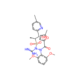 COc1cccc(OC)c1N(C(=O)c1ccc(C)o1)N(C(=N)N)S(=O)(=O)[C@@H](C)[C@@H](O)c1ccc(C)cn1